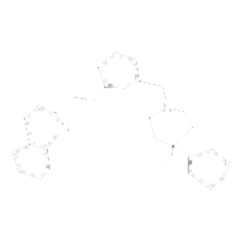 OC1(c2ccccc2)CCN(Cc2cccc(OCc3ccc4ccccc4n3)c2)CC1